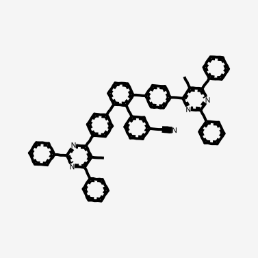 Cc1c(-c2ccccc2)nc(-c2ccccc2)nc1-c1ccc(-c2cccc(-c3ccc(-c4nc(-c5ccccc5)nc(-c5ccccc5)c4C)cc3)c2-c2cccc(C#N)c2)cc1